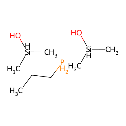 CCCP.C[SiH](C)O.C[SiH](C)O